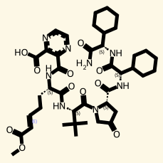 COC(=O)/C=C/CC[C@H](NC(=O)c1nccnc1C(=O)O)C(=O)N[C@H](C(=O)N1CC(=O)C[C@H]1C(=O)N[C@H](C(=O)N[C@H](C(N)=O)C1CCCCC1)C1CCCCC1)C(C)(C)C